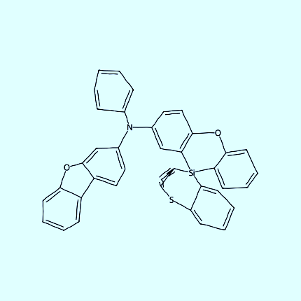 c1ccc(N(c2ccc3c(c2)[Si]2(c4ccccc4O3)c3ccccc3Sc3ccccc32)c2ccc3c(c2)oc2ccccc23)cc1